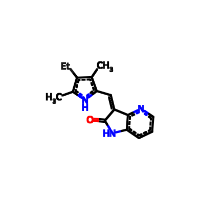 CCc1c(C)[nH]c(C=C2C(=O)Nc3cccnc32)c1C